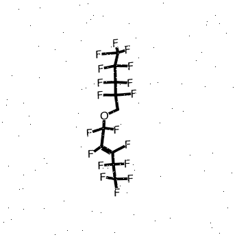 FC(=C(F)C(F)(F)C(F)(F)F)C(F)(F)OCC(F)(F)C(F)(F)C(F)(F)C(F)(F)F